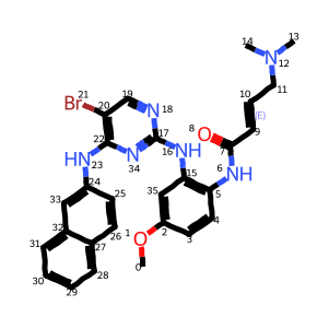 COc1ccc(NC(=O)/C=C/CN(C)C)c(Nc2ncc(Br)c(Nc3ccc4ccccc4c3)n2)c1